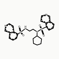 O=S(=O)(NCCN(C1CCCCC1)S(=O)(=O)c1cccc2cnccc12)c1cccc2cnccc12